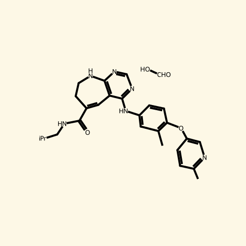 Cc1ccc(Oc2ccc(Nc3ncnc4c3C=C(C(=O)NCC(C)C)CCN4)cc2C)cn1.O=CO